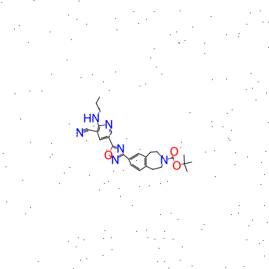 CCCNc1ncc(-c2nc(-c3ccc4c(c3)CCN(C(=O)OC(C)(C)C)CC4)no2)cc1C#N